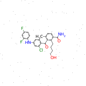 Cc1ccc(C(N)=O)c(CCCCO)c1C(=O)c1ccc(Nc2ccc(F)cc2F)cc1Cl